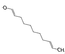 CC=CCCCCCCC=C[O]